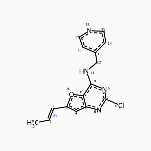 C/C=C/c1cc2nc(Cl)nc(NCc3ccncc3)c2o1